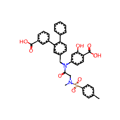 Cc1ccc(S(=O)(=O)N(C)CC(=O)N(Cc2ccc(-c3ccccc3)c(-c3cccc(C(=O)O)c3)c2)c2ccc(C(=O)O)c(O)c2)cc1